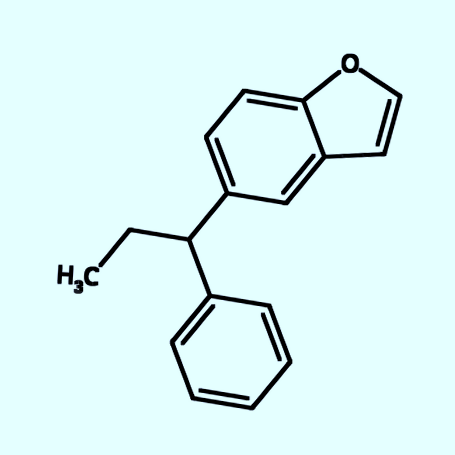 CCC(c1ccccc1)c1ccc2occc2c1